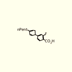 CCCCCC1=CCC(c2ccc(C(=O)O)c(F)c2)C=C1